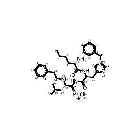 CCCC[C@H](N)C(=O)N[C@@H](Cc1cn(Cc2ccccc2)cn1)C(=O)NC(=O)[C@H](CC(C)C)NCCc1ccccc1.Cl.Cl